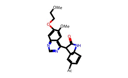 COCCOc1cc2ncnc(C3C(=O)Nc4ccc(C(C)=O)cc43)c2cc1OC